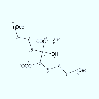 CCCCCCCCCCCCSC(C(=O)[O-])C(O)(SCCCCCCCCCCCC)C(=O)[O-].[Zn+2]